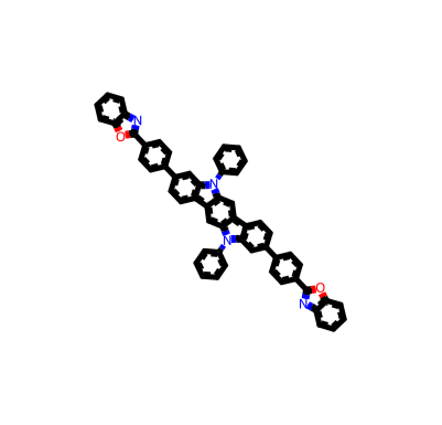 c1ccc(-n2c3cc(-c4ccc(-c5nc6ccccc6o5)cc4)ccc3c3cc4c(cc32)c2ccc(-c3ccc(-c5nc6ccccc6o5)cc3)cc2n4-c2ccccc2)cc1